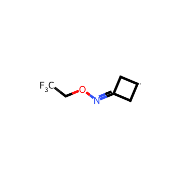 FC(F)(F)CON=C1C[CH]C1